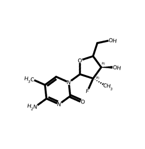 Cc1cn(C2OC(CO)[C@@H](O)[C@@]2(C)F)c(=O)nc1N